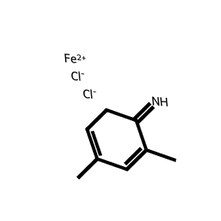 CC1=CCC(=N)C(C)=C1.[Cl-].[Cl-].[Fe+2]